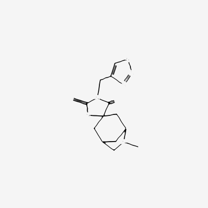 CN1CC2CC1CC1(C2)NC(=O)N(Cc2c[nH]nn2)C1=O